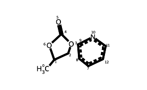 CC1COC(=O)O1.c1ccncc1